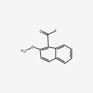 COc1ccc2ccccc2c1C(=O)F